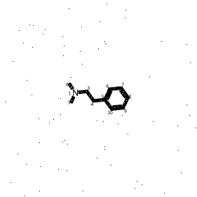 [CH2]N(C)CCc1ccccc1